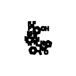 CC(c1ccccc1)n1c(Cn2nc(-c3cc(O)cc(C(F)(F)F)c3)c3c(N)ncnc32)nn2cccc2c1=O